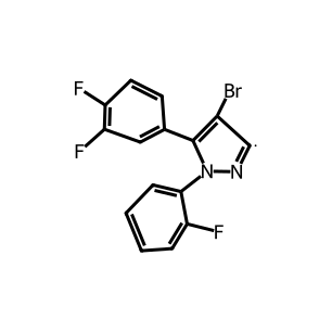 Fc1ccc(-c2c(Br)[c]nn2-c2ccccc2F)cc1F